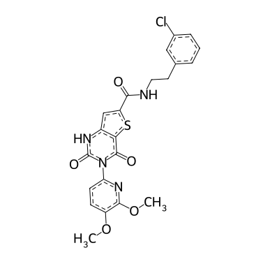 COc1ccc(-n2c(=O)[nH]c3cc(C(=O)NCCc4cccc(Cl)c4)sc3c2=O)nc1OC